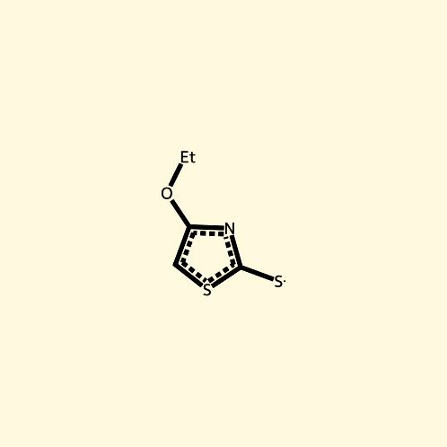 CCOc1csc([S])n1